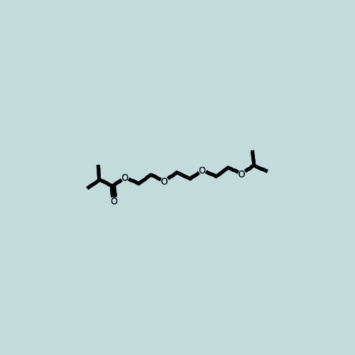 CC(C)OCCOCCOCCOC(=O)C(C)C